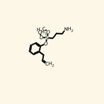 C=CCc1ccccc1O[Si](CCCN)(OC)OC